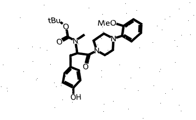 COc1ccccc1N1CCN(C(=O)C(Cc2ccc(O)cc2)N(C)C(=O)OC(C)(C)C)CC1